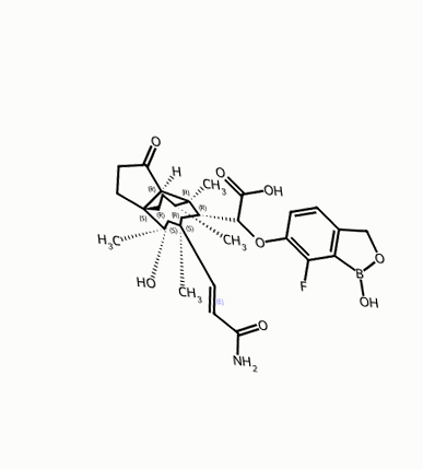 C[C@@H]1CC[C@@]23CCC(=O)[C@H]2[C@@]1(C)[C@H](C(Oc1ccc2c(c1F)B(O)OC2)C(=O)O)C[C@@](C)(/C=C/C(N)=O)[C@@H](O)[C@@H]3C